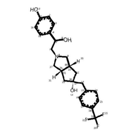 Oc1ccc(C(O)CN2C[C@@H]3C[C@@](O)(Cc4ccc(C(F)(F)F)cc4)C[C@@H]3C2)cc1